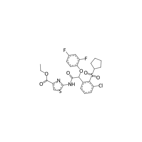 CCOC(=O)c1csc(NC(=O)C(Oc2ccc(F)cc2F)c2cccc(Cl)c2S(=O)(=O)C2CCCC2)n1